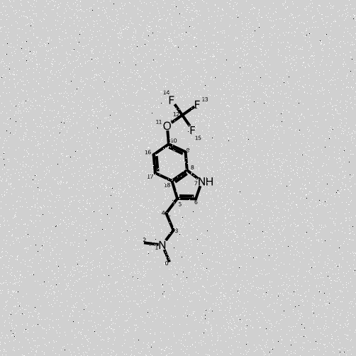 CN(C)CCc1c[nH]c2cc(OC(F)(F)F)ccc12